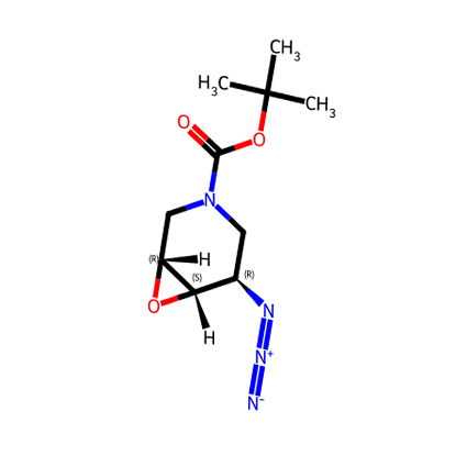 CC(C)(C)OC(=O)N1C[C@@H](N=[N+]=[N-])[C@@H]2O[C@@H]2C1